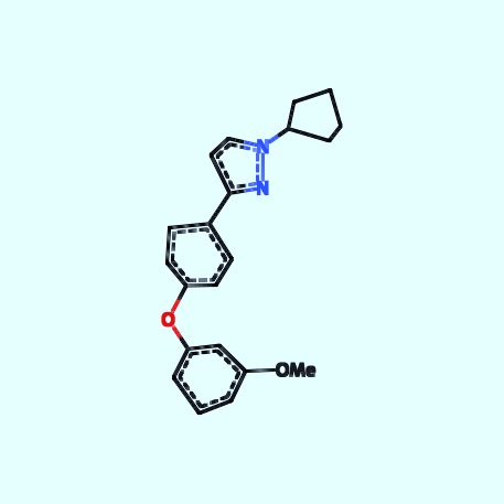 COc1cccc(Oc2ccc(-c3ccn(C4CCCC4)n3)cc2)c1